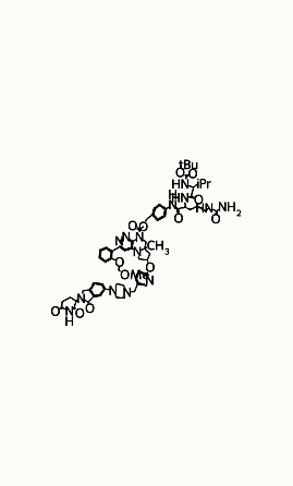 COCOc1ccccc1-c1cc2c(nn1)N(C(=O)OCc1ccc(NC(=O)[C@H](CCCNC(N)=O)NC(=O)[C@@H](NC(=O)OC(C)(C)C)C(C)C)cc1)C[C@]1(C)C[C@@H](Oc3ccc(CN4CCN(c5ccc6c(c5)C(=O)N([C@H]5CCC(=O)NC5=O)C6)CC4)cn3)CN21